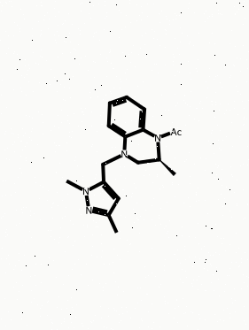 CC(=O)N1c2ccccc2N(Cc2cc(C)nn2C)C[C@@H]1C